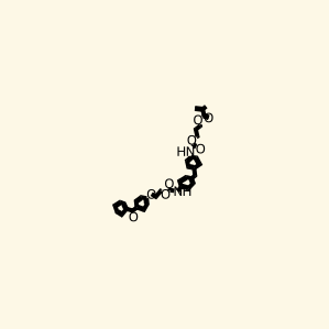 C=C(C)C(=O)OCCCOC(=O)Nc1ccc(Cc2ccc(NC(=O)OCCOc3ccc(C(=O)c4ccccc4)cc3)cc2)cc1